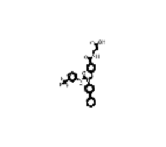 O=C(O)CCNC(=O)c1ccc(CN(C(=O)Nc2cccc(C(F)(F)F)c2)c2ccc(C3=CCCCC3)cc2)cc1